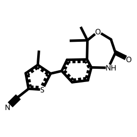 Cc1cc(C#N)sc1-c1ccc2c(c1)C(C)(C)OCC(=O)N2